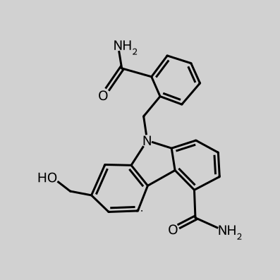 NC(=O)c1ccccc1Cn1c2cc(CO)c[c]c2c2c(C(N)=O)cccc21